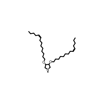 CCCC/C=C\CCCCCCCCOC1CN(C)CC1OCCCCCCCC/C=C\CCCC